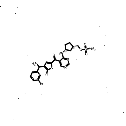 NC(c1cccc(Br)c1)c1cc(C(=O)c2cncnc2N[C@H]2CC[C@@H](COS(N)(=O)=O)C2)sc1Cl